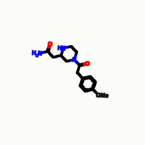 COc1ccc(CC(=O)N2CCNC(CC(N)=O)C2)cc1